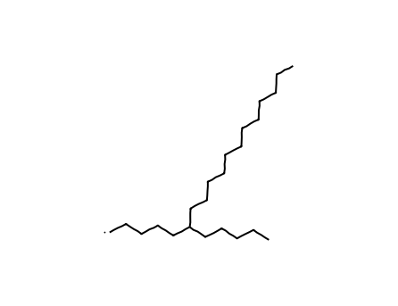 [CH2]CCCCC(CCCCC)CCCCCCCCCCCC